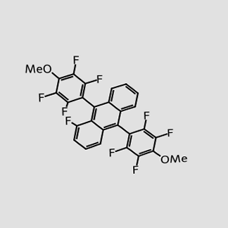 COc1c(F)c(F)c(-c2c3ccccc3c(-c3c(F)c(F)c(OC)c(F)c3F)c3c(F)cccc23)c(F)c1F